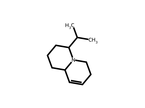 CC(C)C1CCCC2C=CCCN21